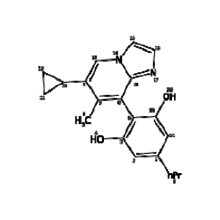 CCCc1cc(O)c(-c2c(C)c(C3CC3)cn3ccnc23)c(O)c1